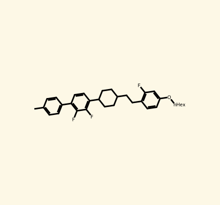 CCCCCCOc1ccc(CCC2CCC(c3ccc(-c4ccc(C)cc4)c(F)c3F)CC2)c(F)c1